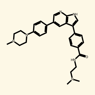 CN(C)CCNC(=O)c1ccc(-c2c[nH]c3ncc(-c4ccc(N5CCN(C)CC5)cc4)cc23)cc1